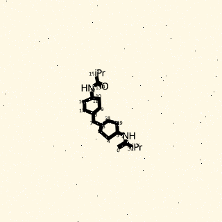 C=C(NC1CCC(CC2CCC(NC(=O)C(C)C)CC2)CC1)C(C)C